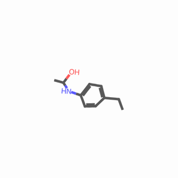 CCc1ccc(NC(C)O)cc1